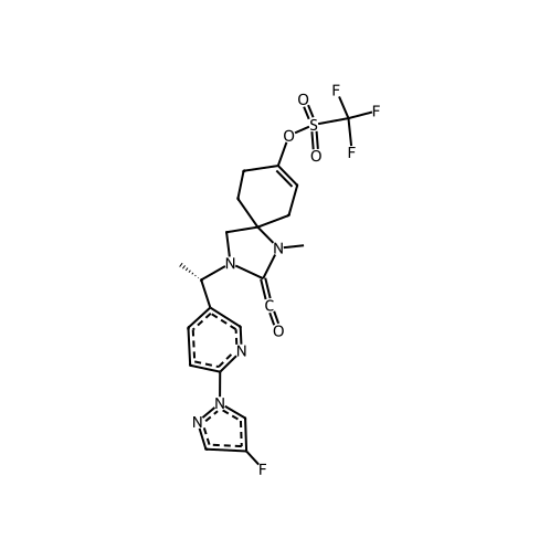 C[C@@H](c1ccc(-n2cc(F)cn2)nc1)N1CC2(CC=C(OS(=O)(=O)C(F)(F)F)CC2)N(C)C1=C=O